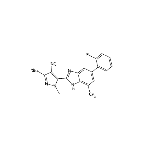 [C-]#[N+]c1c(C(C)(C)C)nn(C)c1-c1nc2cc(-c3ccccc3F)cc(C(F)(F)F)c2[nH]1